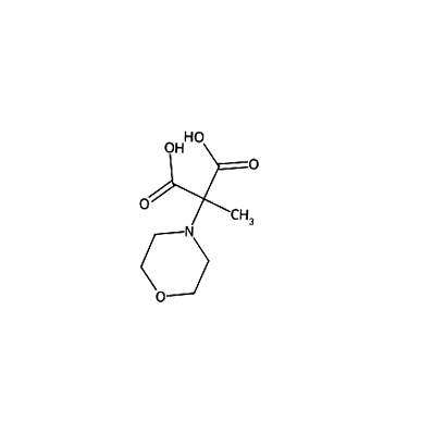 CC(C(=O)O)(C(=O)O)N1CCOCC1